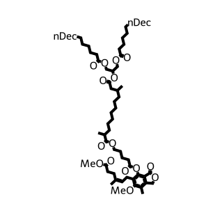 CCCCCCCCCCCCCCCC(=O)OCC(COC(=O)CCCCCCCCCCCCCCC)OC(=O)CC(C)CCCCCCCC(C)C(=O)OCCCCC(=O)Oc1c(CC=C(C)CCC(=O)OC)c(OC)c(C)c2c1C(=O)OC2